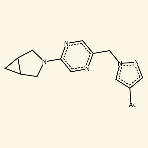 CC(=O)c1cnn(Cc2cnc(N3CC4CC4C3)cn2)c1